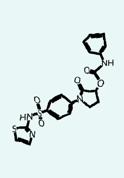 O=C(Nc1ccccc1)OC1CCN(c2ccc(S(=O)(=O)Nc3nccs3)cc2)C1=O